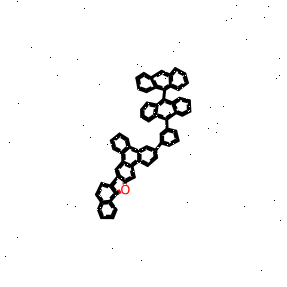 c1cc(-c2ccc3c(c2)c2ccccc2c2cc4c(cc32)oc2c3ccccc3ccc42)cc(-c2c3ccccc3c(-c3c4ccccc4cc4ccccc34)c3ccccc23)c1